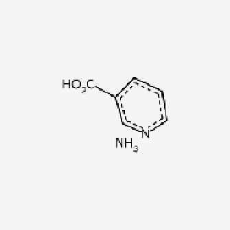 N.O=C(O)c1cccnc1